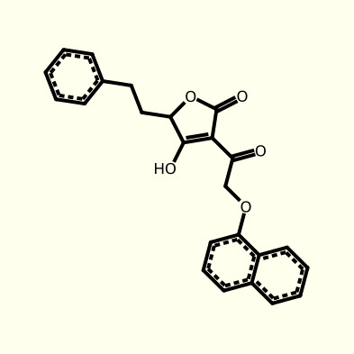 O=C(COc1cccc2ccccc12)C1=C(O)C(CCc2ccccc2)OC1=O